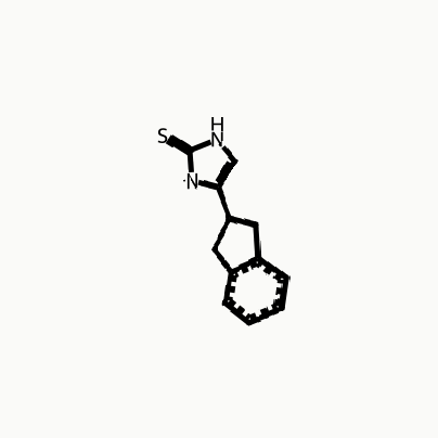 S=C1[N]C(C2Cc3ccccc3C2)=CN1